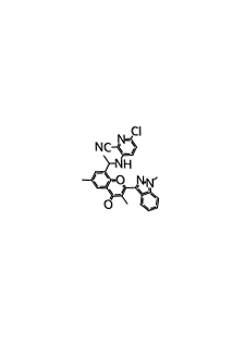 Cc1cc(C(C)Nc2ccc(Cl)nc2C#N)c2oc(-c3nn(C)c4ccccc34)c(C)c(=O)c2c1